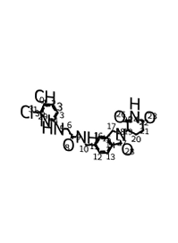 Cc1ccc(NCC(=O)NCc2ccc3c(c2)CN(C2CCC(=O)NC2=O)C3=O)nc1Cl